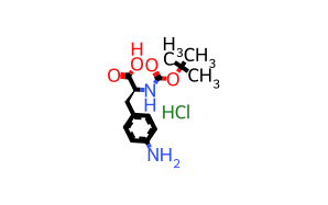 CC(C)(C)OC(=O)N[C@@H](Cc1ccc(N)cc1)C(=O)O.Cl